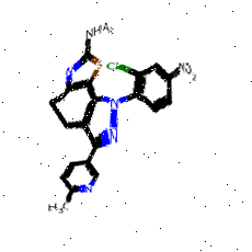 CC(=O)Nc1nc2c(s1)-c1c(c(-c3ccc(C)nc3)nn1-c1ccc([N+](=O)[O-])cc1Cl)CC2